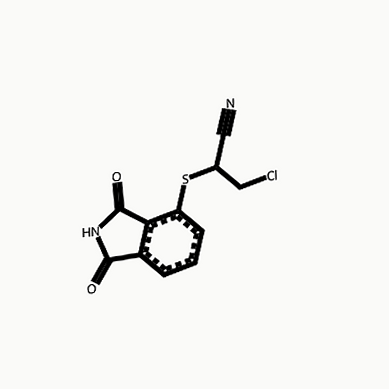 N#CC(CCl)Sc1cccc2c1C(=O)NC2=O